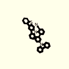 N#Cc1cccc(-c2cccc(-n3c4ccccc4c4ccccc43)c2)c1-n1c2ccccc2c2cc3c4c(sc3cc21)CCC=C4